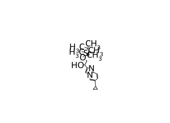 CC(C)(C)[Si](C)(C)OCC(O)c1cn2cc(C3CC3)ccc2n1